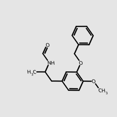 COc1ccc(CC(C)NC=O)cc1OCc1ccccc1